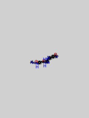 CN(C)C/C=C/C(=O)Nc1ccc(CCC(=O)Nc2cncc(Nc3ccc(-c4ccc(C(=O)N(C)C)cc4)cn3)c2)cc1